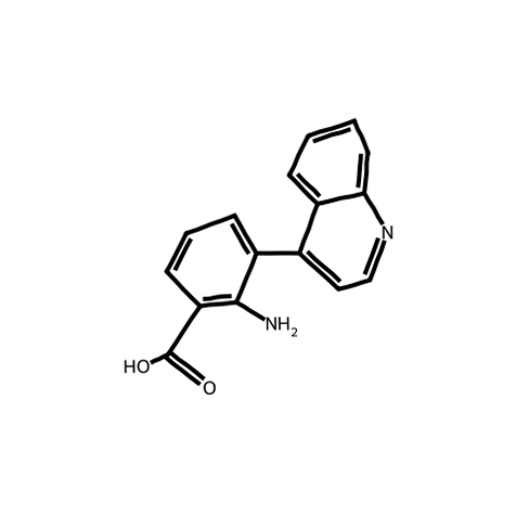 Nc1c(C(=O)O)cccc1-c1ccnc2ccccc12